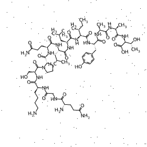 CC[C@H](C)[C@H](NC(=O)[C@H](CC(C)C)NC(=O)[C@H](CC(C)C)NC(=O)[C@H](CCC(N)=O)NC(=O)[C@@H]1CCCN1C(=O)[C@H](CO)NC(=O)[C@H](CCCCN)NC(=O)CNC(=O)[C@@H](N)CCC(N)=O)C(=O)N[C@@H](Cc1ccc(O)cc1)C(=O)N[C@@H](C)C(=O)N[C@@H](C)C(=O)N[C@H](C(=O)O)[C@@H](C)O